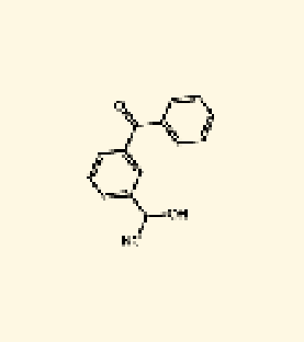 N#CC(O)c1cccc(C(=O)c2ccccc2)c1